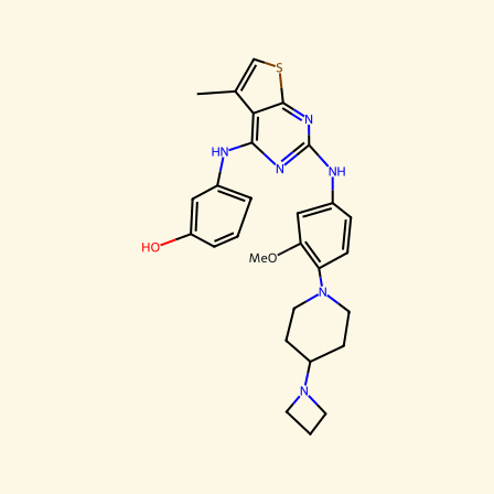 COc1cc(Nc2nc(Nc3cccc(O)c3)c3c(C)csc3n2)ccc1N1CCC(N2CCC2)CC1